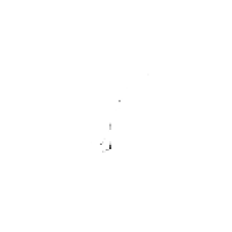 CCN1C=CN(CCCOCCCOCCCOC)C1OC(C)=O